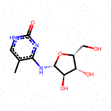 Cc1c[nH]c(=O)nc1N[C@@H]1O[C@H](CO)[C@H](O)[C@H]1O